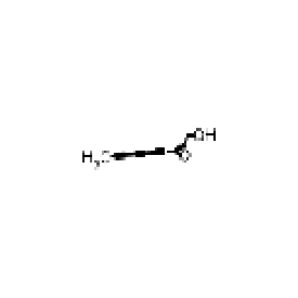 CC#CC#CC#C[C@H]1O[C@@H]1CO